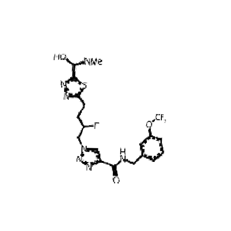 CNC(O)c1nnc(CCC(F)Cn2cc(C(=O)NCc3cccc(OC(F)(F)F)c3)nn2)s1